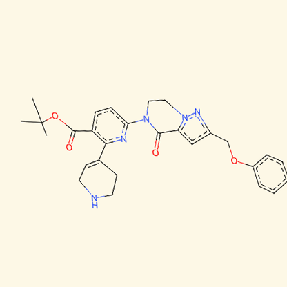 CC(C)(C)OC(=O)c1ccc(N2CCn3nc(COc4ccccc4)cc3C2=O)nc1C1=CCNCC1